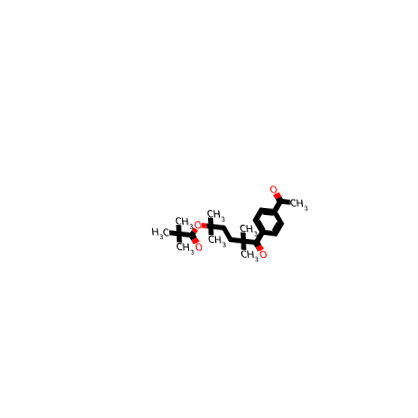 CC(=O)c1ccc(C(=O)C(C)(C)CCC(C)(C)OC(=O)C(C)(C)C)cc1